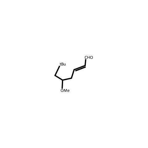 COC(CC=CC=O)CC(C)(C)C